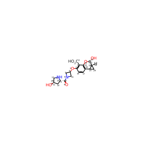 O=C(O)c1c(OC2CN(C(=O)[C@@H]3C[C@@H](O)CN3)C2)ccc2c1OB(O)[C@@H]1CC21